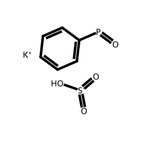 O=Pc1ccccc1.O=[S-](=O)O.[K+]